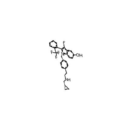 Oc1ccc2c(c1)c(F)c(-c1ccccc1C(F)(F)F)n2Cc1ccc(CCNCC2CC2)cc1